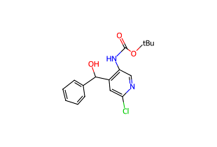 CC(C)(C)OC(=O)Nc1cnc(Cl)cc1C(O)c1ccccc1